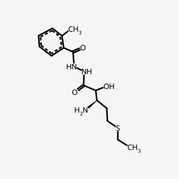 CCSCC[C@@H](N)C(O)C(=O)NNC(=O)c1ccccc1C